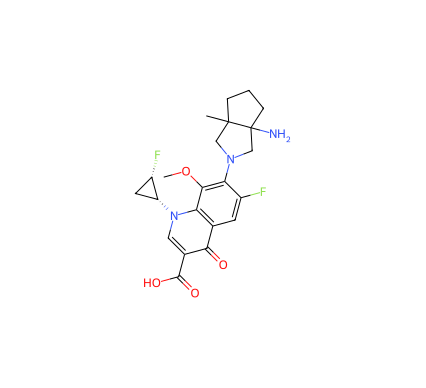 COc1c(N2CC3(C)CCCC3(N)C2)c(F)cc2c(=O)c(C(=O)O)cn([C@@H]3C[C@@H]3F)c12